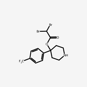 O=C(OC1(c2ccc(C(F)(F)F)cc2)CCNCC1)C(Br)Br